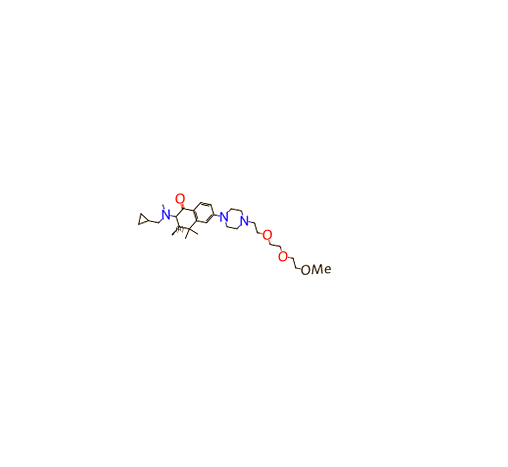 COCCOCCOCCN1CCN(c2ccc3c(c2)C(C)(C)[C@@H](C)C(N(C)CC2CC2)C3=O)CC1